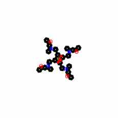 O=S12(c3ccc(-c4cccc(-n5c6ccccc6c6cc7c(cc65)oc5ccccc57)c4)cc3-c3cc(-c4cccc(-n5c6ccccc6c6cc7c(cc65)oc5ccccc57)c4)ccc31)c1ccc(-c3cccc(-n4c5ccccc5c5cc6c(cc54)oc4ccccc46)c3)cc1-c1cc(-c3cccc(-n4c5ccccc5c5cc6c(cc54)oc4ccccc46)c3)ccc12